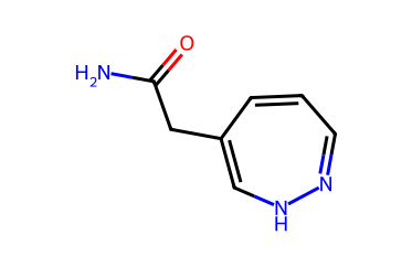 NC(=O)CC1=CNN=CC=C1